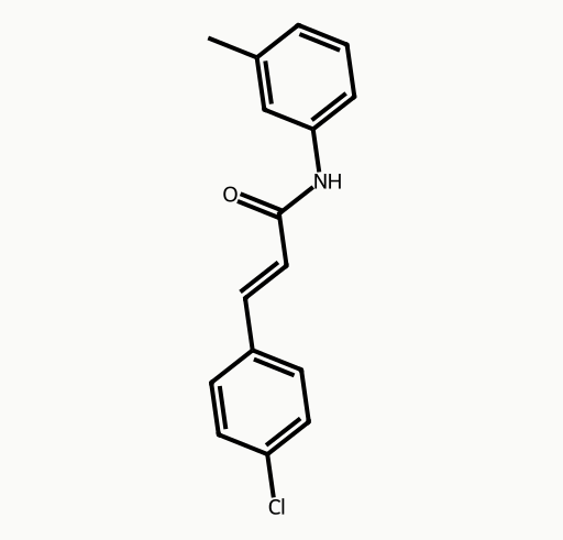 Cc1cccc(NC(=O)/C=C/c2ccc(Cl)cc2)c1